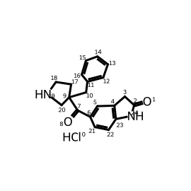 Cl.O=C1Cc2cc(C(=O)C3(Cc4ccccc4)CCNC3)ccc2N1